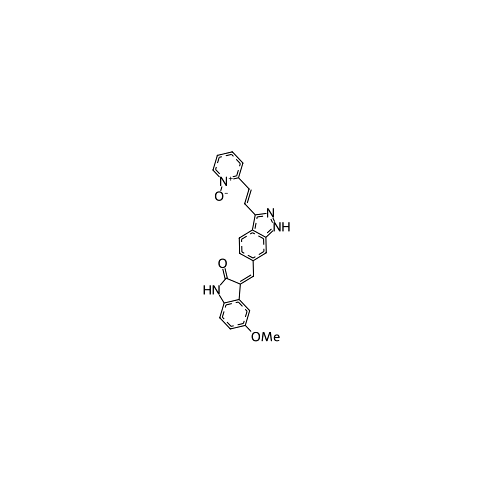 COc1ccc2c(c1)C(=Cc1ccc3c(C=Cc4cccc[n+]4[O-])n[nH]c3c1)C(=O)N2